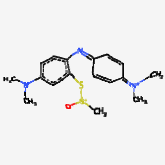 CN(C)c1ccc(N=C2C=CC(=[N+](C)C)C=C2)c(S[S+](C)[O-])c1